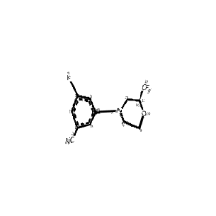 N#Cc1cc(F)cc(N2CCO[C@H](C(F)(F)F)C2)c1